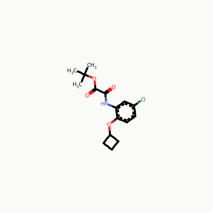 CC(C)(C)OC(=O)C(=O)Nc1cc(Cl)ccc1OC1CCC1